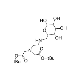 CC(C)(C)OC(=O)CN(CCNCC1OC(O)C(O)[C@@H](O)[C@@H]1O)CC(=O)OC(C)(C)C